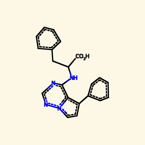 O=C(O)C(Cc1ccccc1)Nc1ncnn2ccc(-c3ccccc3)c12